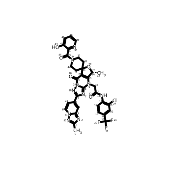 Cc1nc2cc(-c3nc4n(CC(=O)Nc5ccc(C(F)(F)F)cc5Cl)c5c(c(=O)n4n3)C3(CCN(C(=O)c4ncccc4O)CC3)O[C@@H]5C)ccn2n1